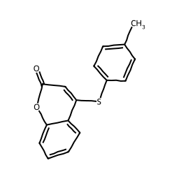 Cc1ccc(Sc2cc(=O)oc3ccccc23)cc1